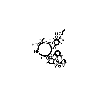 CCCNC[C@]1(O)[C@H](C)OC(O[C@H]2[C@H](C)[C@@H](O[C@@H]3O[C@H](C)C[C@H](N(C)S(=O)(=O)c4nccn4C)[C@H]3Oc3c(C)cccc3F)[C@](C)(O)C[C@@H](C)CN[C@H](C)[C@@H](O)[C@](C)(O)[C@@H](CC)OC(=O)[C@@H]2C)C[C@@]1(C)OC